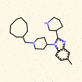 Cc1ccc2c(c1)nc(C1CCCNC1)n2C1CCN(CC2CCCCCCC2)CC1